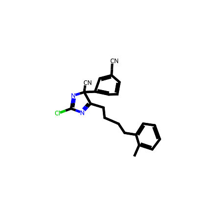 Cc1ccccc1CCCCC1=NC(Cl)=NC1(C#N)c1cccc(C#N)c1